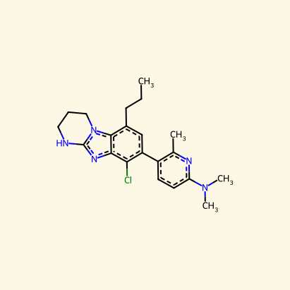 CCCc1cc(-c2ccc(N(C)C)nc2C)c(Cl)c2nc3n(c12)CCCN3